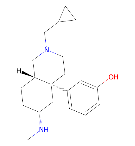 CN[C@@H]1CC[C@@H]2CN(CC3CC3)CC[C@@]2(c2cccc(O)c2)C1